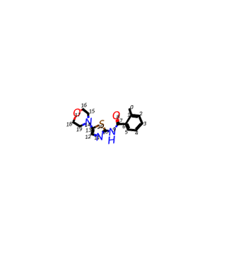 Cc1ccccc1C(=O)Nc1ncc(N2CCOCC2)s1